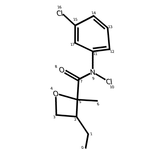 CCC1COC1(C)C(=O)N(Cl)c1cccc(Cl)c1